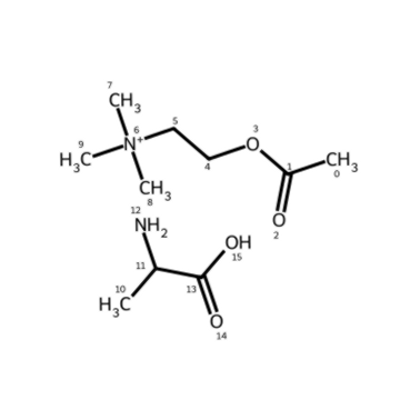 CC(=O)OCC[N+](C)(C)C.CC(N)C(=O)O